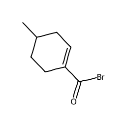 CC1CC=C(C(=O)Br)CC1